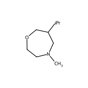 CC(C)C1COCCN(C)C1